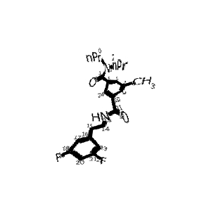 CCCN(CCC)C(=O)c1cc(C)cc(C(=O)NCCc2cc(F)cc(F)c2)c1